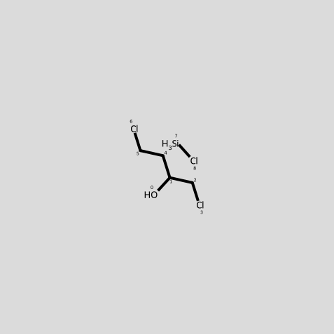 OC(CCl)CCCl.[SiH3]Cl